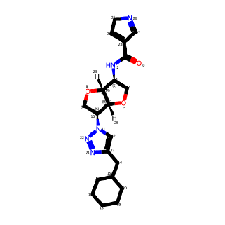 O=C(N[C@H]1CO[C@H]2[C@@H]1OC[C@@H]2n1cc(CC2CCCCC2)nn1)C1=CCN=C1